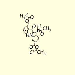 CC(=O)Nc1c(C(=O)c2occc2COC(C)=O)[nH]c2cc(C(=O)OC(C)Cl)ccc12